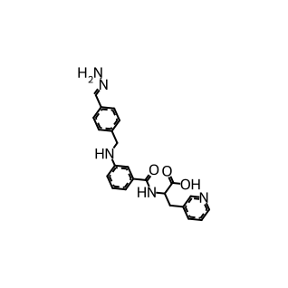 NN=Cc1ccc(CNc2cccc(C(=O)NC(Cc3cccnc3)C(=O)O)c2)cc1